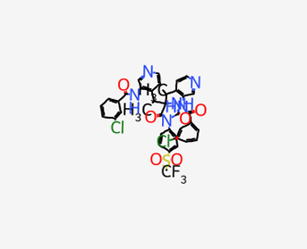 CC(c1ccncc1NC(=O)c1cccc(Cl)c1)C1(C(C)c2ccncc2NC(=O)c2cccc(Cl)c2)NC(=O)N(c2ccc(S(=O)(=O)C(F)(F)F)cc2)C1=O